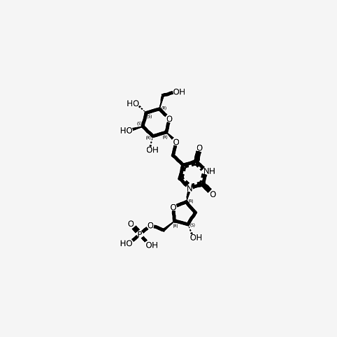 O=c1[nH]c(=O)n([C@H]2C[C@H](O)[C@@H](COP(=O)(O)O)O2)cc1CO[C@@H]1O[C@H](CO)[C@@H](O)[C@H](O)[C@H]1O